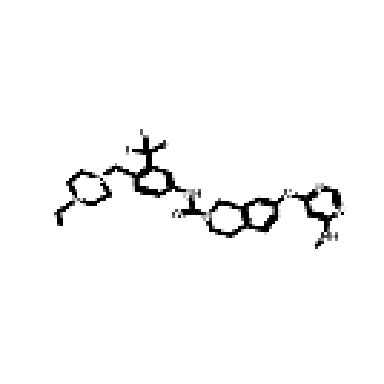 CCN1CCN(Cc2ccc(NC(=O)N3CCc4ccc(Oc5cc(NC)ncn5)cc4C3)cc2C(F)(F)F)CC1